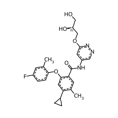 Cc1cc(F)ccc1Oc1cc(C2CC2)c(C)cc1C(=O)Nc1cnnc(OC[C@@H](O)CO)c1